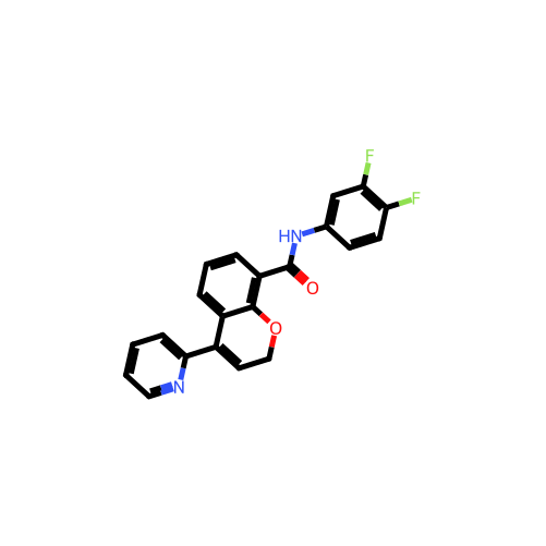 O=C(Nc1ccc(F)c(F)c1)c1cccc2c1OCC=C2c1ccccn1